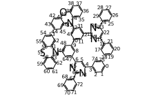 c1ccc(-c2cc(-c3cc(-c4cc(-c5nc(-c6ccccc6)cc(-c6ccccc6)n5)cc(N5c6ccccc6Oc6ccccc65)c4)cc(N4c5ccccc5Sc5ccccc54)c3)nc(-c3ccccc3)n2)cc1